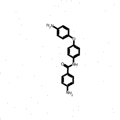 Nc1ccc(Oc2ccc(NC(=O)c3ccc(N)cc3)cc2)cc1